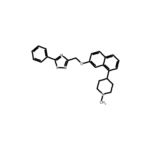 CN1CCC(c2cccc3ccc(OCc4nsc(-c5ccccc5)n4)cc23)CC1